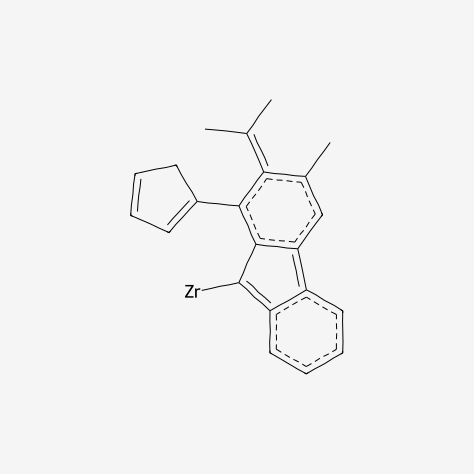 CC(C)=c1c(C)cc2c(c1C1=CC=CC1)[C]([Zr])=c1ccccc1=2